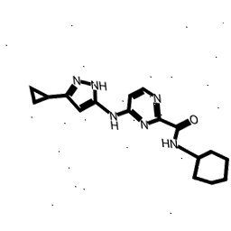 O=C(NC1CCCCC1)c1nccc(Nc2cc(C3CC3)n[nH]2)n1